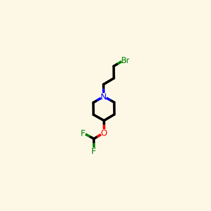 FC(F)OC1CCN(CCCBr)CC1